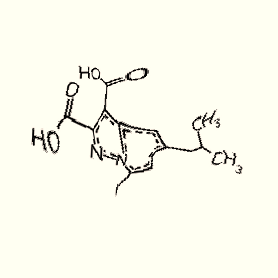 CC(C)c1cc(I)n2nc(C(=O)O)c(C(=O)O)c2c1